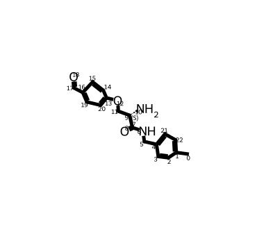 Cc1ccc(CNC(=O)[C@@H](N)COc2ccc(C=O)cc2)cc1